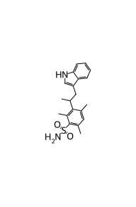 Cc1cc(C)c(S(N)(=O)=O)c(C)c1C(C)Cc1c[nH]c2ccccc12